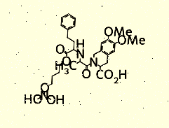 COc1cc2c(cc1OC)CN(C(=O)C(C)NC(CCc1ccccc1)C(=O)OCCCCON(O)O)C(C(=O)O)C2